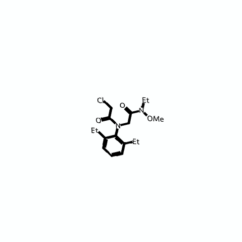 CCc1cccc(CC)c1N(CC(=O)N(CC)OC)C(=O)CCl